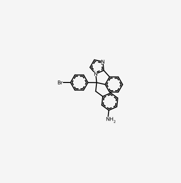 Nc1cccc(CC2(c3ccc(Br)cc3)c3ccccc3-c3nccn32)c1